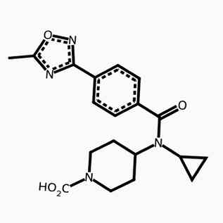 Cc1nc(-c2ccc(C(=O)N(C3CC3)C3CCN(C(=O)O)CC3)cc2)no1